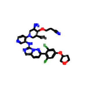 C[C@H]1CN(c2ccncc2Nc2ncc3ccc(-c4c(F)cc(OC5CCOC5)cc4F)nn23)C[C@@H](N)[C@H]1OCCC#N